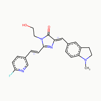 CN1CCc2cc(/C=C3N=C(/C=C/c4ccc(F)nc4)N(CCO)C\3=O)ccc21